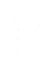 O=C(O)C(CC1CCCCC1)NCc1ccccc1